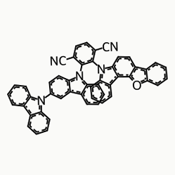 N#Cc1ccc(C#N)c(-n2c3ccccc3c3c4oc5ccccc5c4ccc32)c1-n1c2ccccc2c2cc(-n3c4ccccc4c4ccccc43)ccc21